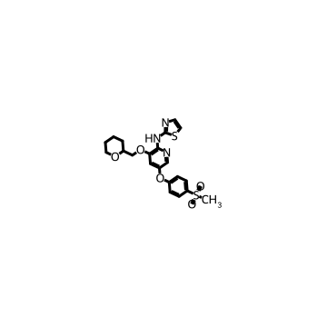 CS(=O)(=O)c1ccc(Oc2cnc(Nc3nccs3)c(OCC3CCCCO3)c2)cc1